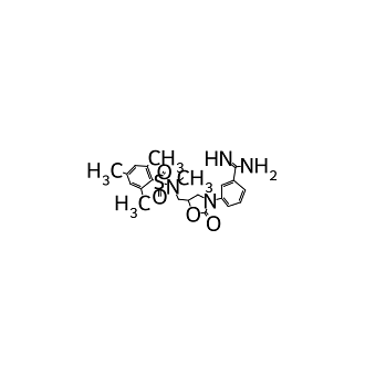 Cc1cc(C)c(S(=O)(=O)N(C)CC2CN(c3cccc(C(=N)N)c3)C(=O)O2)c(C)c1